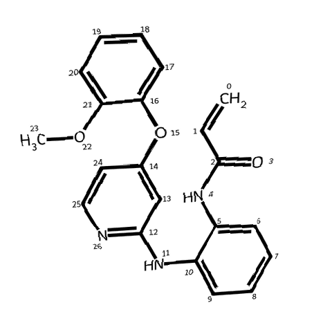 C=CC(=O)Nc1ccccc1Nc1cc(Oc2ccccc2OC)ccn1